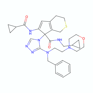 O=C(NC1=CC2=C(CSCC2)C1(C(=O)NCC1CC1)n1cnnc1N(CCN1CCOCC1)Cc1ccccc1)C1CC1